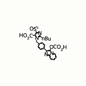 CCCCc1nc([S+](C)[O-])c(C(=O)O)n1Cc1ccc(-c2nc3ccccn3c2OC(=O)O)cc1